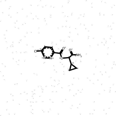 NC(=O)C(OC(=O)c1ccc(Cl)nn1)C1CC1